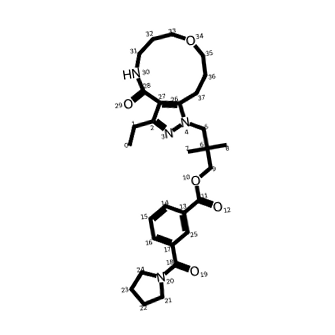 CCc1nn(CC(C)(C)COC(=O)c2cccc(C(=O)N3CCCC3)c2)c2c1C(=O)NCCCOCCC2